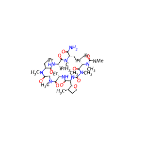 CC[C@H](NC(=O)[C@H]([C@@H]1OCC[C@H]1C)N(C)C(=O)N(C)C(=O)[C@H](CC(C)C)N(C)C(=O)NC)C(=O)N(C)CC(=O)N(C)[C@@H](CC(C)C)C(=O)N[C@H](C(=O)N(C)[C@@H](CC(C)C)C(N)=O)C(C)C